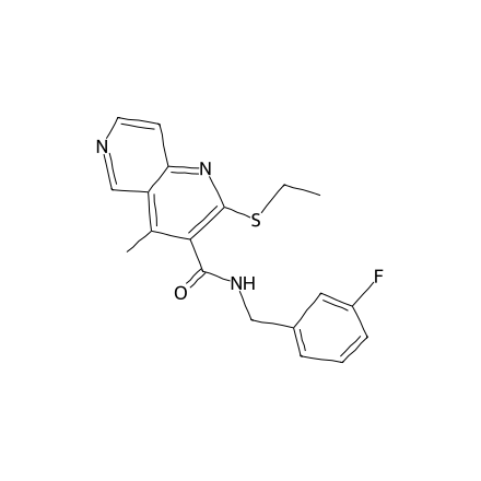 CCSc1nc2ccncc2c(C)c1C(=O)NCc1cccc(F)c1